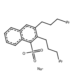 CC(C)CCCc1cc2ccccc2c(S(=O)(=O)[O-])c1CCCC(C)C.[Na+]